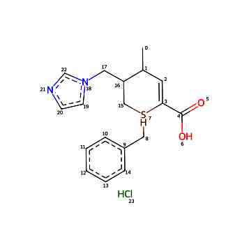 CC1C=C(C(=O)O)[SH](Cc2ccccc2)CC1Cn1ccnc1.Cl